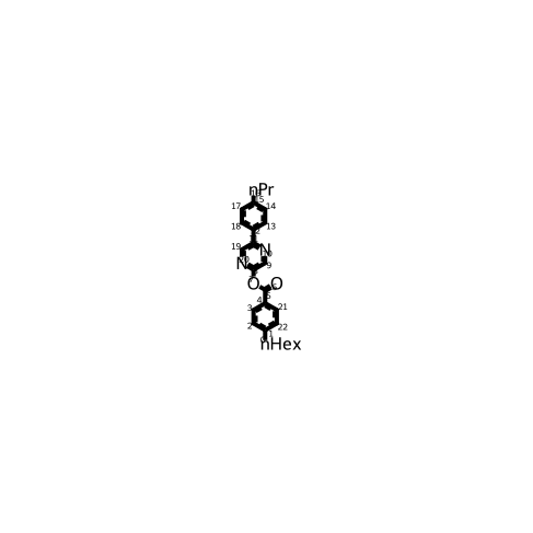 CCCCCCc1ccc(C(=O)Oc2cnc(-c3ccc(CCC)cc3)cn2)cc1